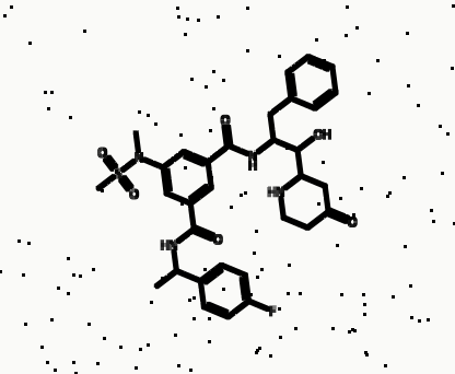 CC(NC(=O)c1cc(C(=O)NC(Cc2ccccc2)C(O)C2CC(=O)CCN2)cc(N(C)S(C)(=O)=O)c1)c1ccc(F)cc1